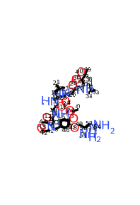 CC(=O)Oc1ccc(C[N+]2(CC(=O)NCC(=O)N[C@@H](CC(C)C)C(=O)NCC(=O)N[C@@H](CC(C)C)C(=O)[C@@]3(C)CO3)CCOCC2)cc1OC/C(N)=C/NN